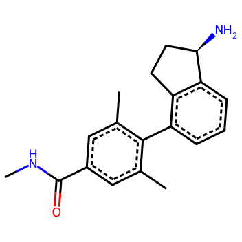 CNC(=O)c1cc(C)c(-c2cccc3c2CC[C@H]3N)c(C)c1